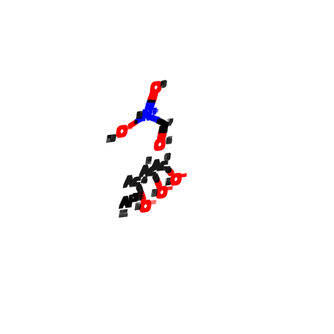 CC(=O)[O-].CC(=O)[O-].CC(=O)[O-].O=C[N+](=O)[O-].[Al+3]